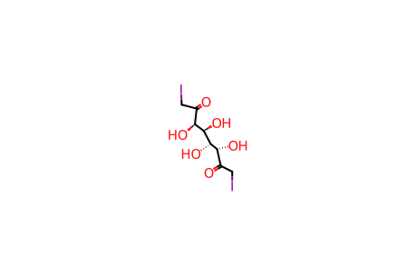 O=C(CI)[C@@H](O)[C@H](O)[C@H](O)[C@@H](O)C(=O)CI